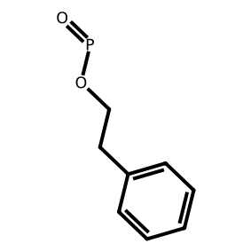 O=POCCc1ccccc1